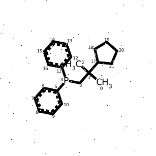 CC(C)(CP(c1ccccc1)c1ccccc1)C1CCCC1